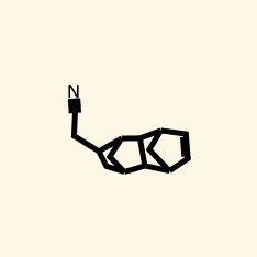 N#CCC1CC2CC1C1C3C=CC(C3)C21